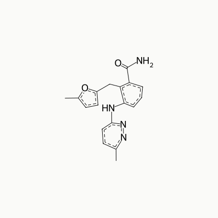 Cc1ccc(Nc2cccc(C(N)=O)c2Cc2ccc(C)o2)nn1